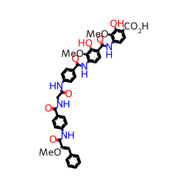 CO/C(=C\c1ccccc1)C(=O)Nc1ccc(C(=O)NCC(=O)Nc2ccc(C(=O)Nc3ccc(C(=O)Nc4ccc(C(=O)O)c(O)c4OC)c(O)c3OC)cc2)cc1